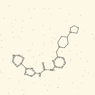 O=C(Nc1cccc(CN2CCC(N3CCCC3)CC2)n1)Nc1csc(-c2ccncc2)n1